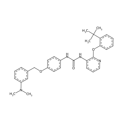 CN(C)c1cccc(COc2ccc(NC(=O)Nc3cccnc3Oc3ccccc3C(C)(C)C)cc2)c1